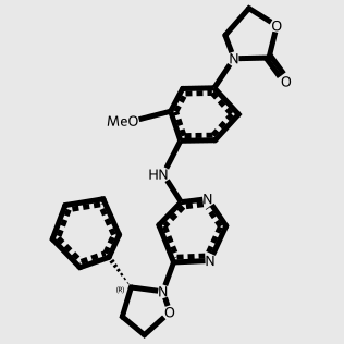 COc1cc(N2CCOC2=O)ccc1Nc1cc(N2OCC[C@@H]2c2ccccc2)ncn1